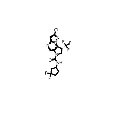 O=C(NC1CCC(F)(F)C1)N1C[C@@H](C(F)(F)F)c2c1cnc1cc(Cl)nn21